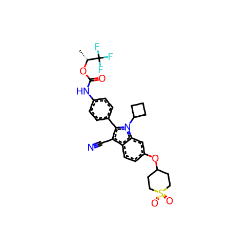 C[C@@H](OC(=O)Nc1ccc(-c2c(C#N)c3ccc(OC4CCS(=O)(=O)CC4)cc3n2C2CCC2)cc1)C(F)(F)F